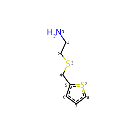 NCCSCc1cccs1